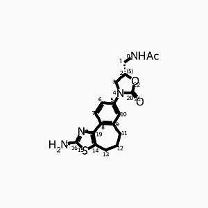 CC(=O)NC[C@H]1CN(c2ccc3c(c2)CCCc2sc(N)nc2-3)C(=O)O1